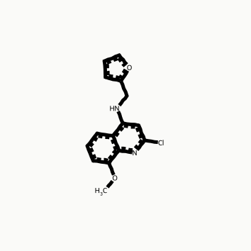 COc1cccc2c(NCc3ccco3)cc(Cl)nc12